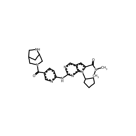 CN(C)C(=O)c1cc2cnc(Nc3ccc(C(=O)N4CC5CNC(C5)C4)cn3)nc2n1C1CCCC1